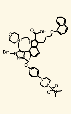 Cc1ccc2c(CCCOc3cccc4ccccc34)c(C(=O)O)n3c2c1-c1c(COc2ccc(N4CCN(S(=O)(=O)N(C)C)CC4)cc2)nn(C)c1C[N+]1(CCOCC1)CC3.[Br-]